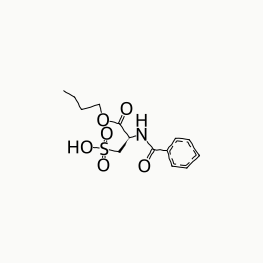 CCCCOC(=O)[C@H](CS(=O)(=O)O)NC(=O)c1ccccc1